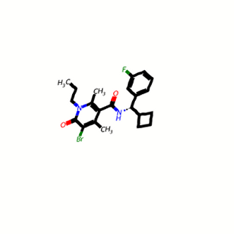 CCCn1c(C)c(C(=O)N[C@H](c2cccc(F)c2)C2CCC2)c(C)c(Br)c1=O